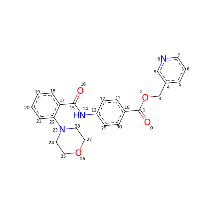 O=C(OCc1cccnc1)c1ccc(NC(=O)c2ccccc2N2CCOCC2)cc1